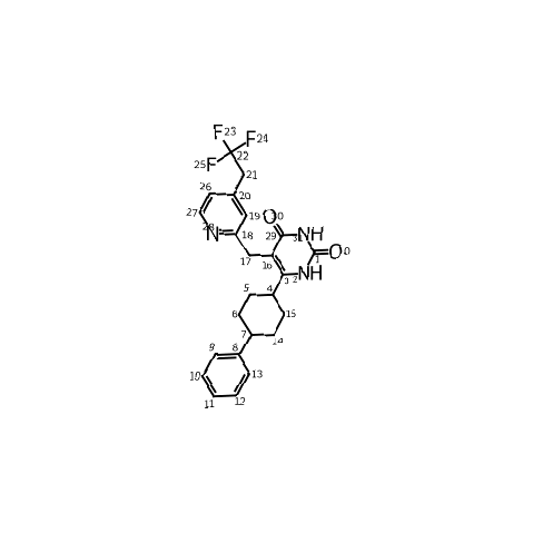 O=c1[nH]c(C2CCC(c3ccccc3)CC2)c(Cc2cc(CC(F)(F)F)ccn2)c(=O)[nH]1